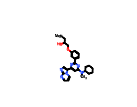 CNCC(O)COc1cccc(-c2nc(-c3cnc4ncccn34)cc(N(C)C3CCCCC3)n2)c1